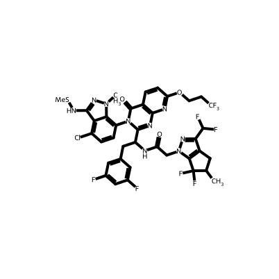 CSNc1nn(C)c2c(-n3c(C(Cc4cc(F)cc(F)c4)NC(=O)Cn4nc(C(F)F)c5c4C(F)(F)C(C)C5)nc4nc(OCCC(F)(F)F)ccc4c3=O)ccc(Cl)c12